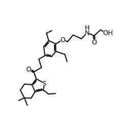 CCc1cc(CCC(=O)c2sc(CC)c3c2CCC(C)(C)C3)cc(CC)c1OCCCNC(=O)CO